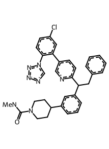 CNC(=O)N1CCC(c2cccc(C(Cc3ccccc3)c3ccc(-c4cc(Cl)ccc4-n4cnnn4)cn3)c2)CC1